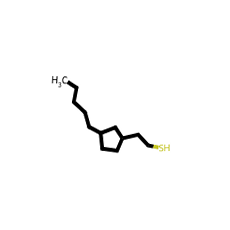 CCCCCC1CCC(CCS)C1